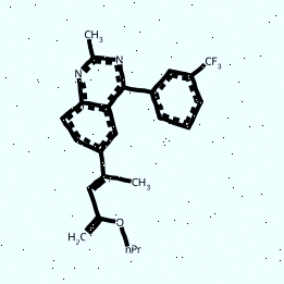 C=C(/C=C(\C)c1ccc2nc(C)nc(-c3cccc(C(F)(F)F)c3)c2c1)OCCC